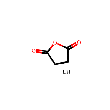 O=C1CCC(=O)O1.[LiH]